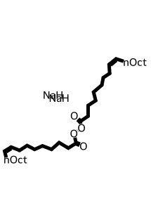 CCCCCCCC/C=C\CCCCCCCC(=O)OOC(=O)CCCCCCC/C=C\CCCCCCCC.[NaH].[NaH]